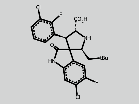 CC(C)(C)C[C@@H]1N[C@@H](C(=O)O)[C@H](c2cccc(Cl)c2F)C12C(=O)Nc1cc(Cl)c(F)cc12